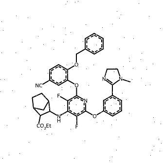 CCOC(=O)C1C2CCC(C2)C1Nc1c(F)c(Oc2cccc(C3=NCCN3C)c2)nc(Oc2cc(C#N)ccc2OCc2ccccc2)c1F